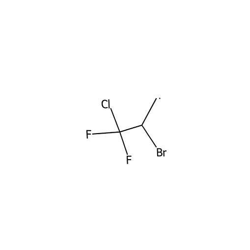 [CH2]C(Br)C(F)(F)Cl